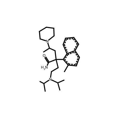 Cc1ccc2ccccc2c1C(CCN(C(C)C)C(C)C)(CC(C)N1CCCCC1)C(N)=O